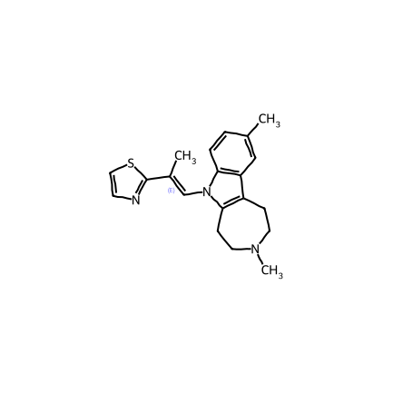 C/C(=C\n1c2c(c3cc(C)ccc31)CCN(C)CC2)c1nccs1